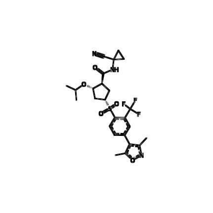 Cc1noc(C)c1-c1ccc(S(=O)(=O)[C@@H]2C[C@H](OC(C)C)[C@@H](C(=O)NC3(C#N)CC3)C2)c(C(F)(F)F)c1